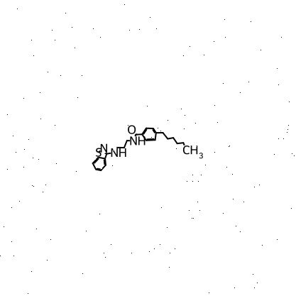 CCCCCCc1ccc(C(=O)NCCCNc2nsc3ccccc23)cc1